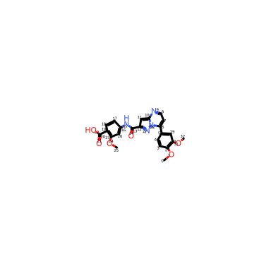 COc1ccc(-c2ccnc3cc(C(=O)Nc4ccc(C(=O)O)c(OC)c4)nn23)cc1OC